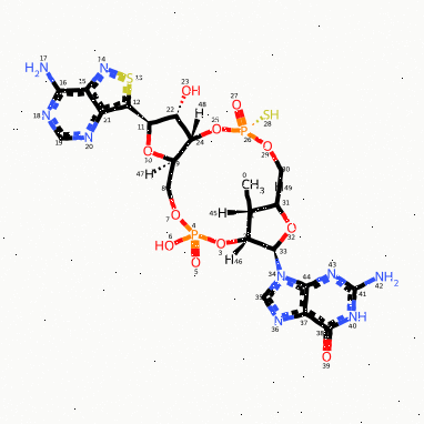 C[C@H]1[C@H]2OP(=O)(O)OC[C@H]3O[C@@H](c4snc5c(N)ncnc45)[C@H](O)[C@@H]3O[P@](=O)(S)OC[C@H]1O[C@H]2n1cnc2c(=O)[nH]c(N)nc21